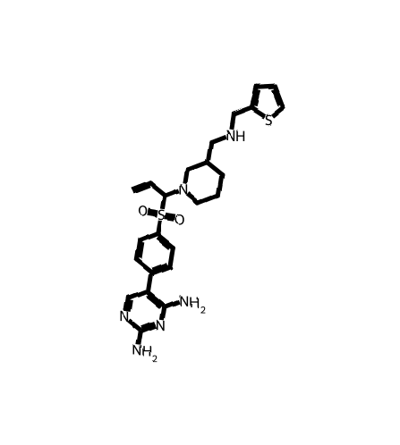 C=CC(N1CCCC(CNCc2cccs2)C1)S(=O)(=O)c1ccc(-c2cnc(N)nc2N)cc1